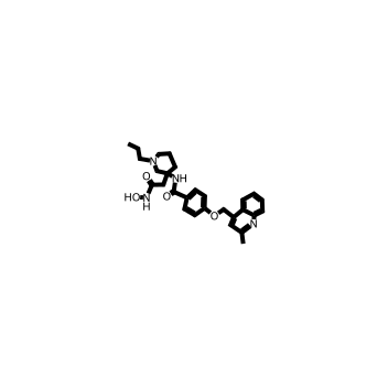 CCCN1CCCC(CC(=O)NO)(NC(=O)c2ccc(OCc3cc(C)nc4ccccc34)cc2)C1